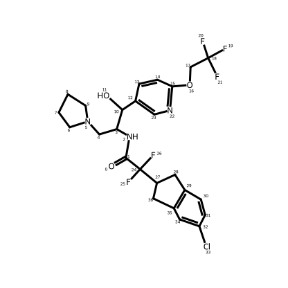 O=C(NC(CN1CCCC1)C(O)c1ccc(OCC(F)(F)F)nc1)C(F)(F)C1Cc2ccc(Cl)cc2C1